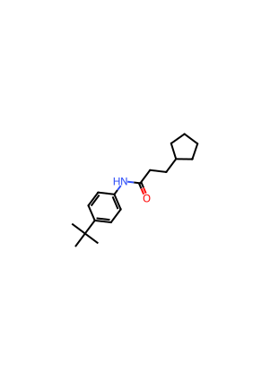 CC(C)(C)c1ccc(NC(=O)CCC2CCCC2)cc1